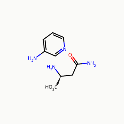 NC(=O)C[C@H](N)C(=O)O.Nc1cccnc1